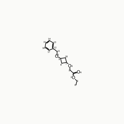 CCOC(=O)CO[C@H]1C[C@@H](OCc2ccccc2)C1